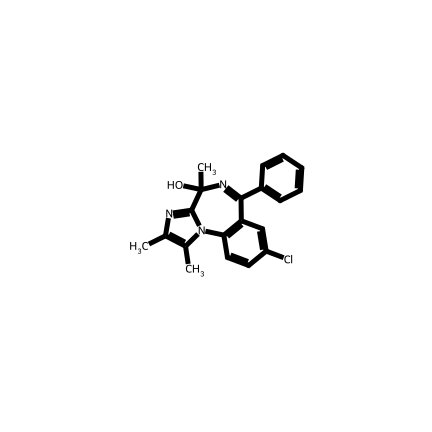 Cc1nc2n(c1C)-c1ccc(Cl)cc1C(c1ccccc1)=NC2(C)O